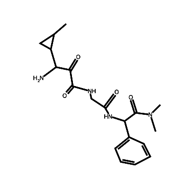 CC1CC1C(N)C(=O)C(=O)NCC(=O)NC(C(=O)N(C)C)c1ccccc1